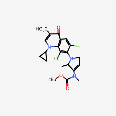 CC1C(N(C)C(=O)OC(C)(C)C)=CCN1c1c(F)cc2c(=O)c(C(=O)O)cn(C3CC3)c2c1Cl